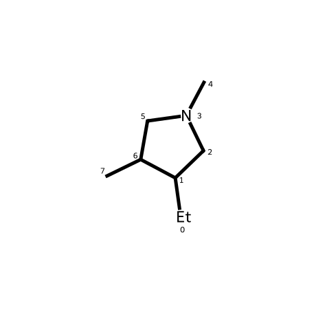 CCC1CN(C)CC1C